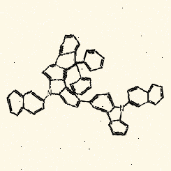 c1ccc(C2(c3ccccc3)c3ccccc3-c3ccc4c(c32)c2cc(-c3ccc5c(c3)c3ccccc3n5-c3ccc5ccccc5c3)ccc2n4-c2ccc3ccccc3c2)cc1